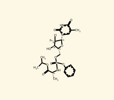 Cc1cn([C@@H]2O[C@H](COP(=S)(N[C@H](C)C(=O)OC(C)C)Oc3ccccc3)[C@@H](O)[C@@]2(F)Cl)c(=O)[nH]c1=O